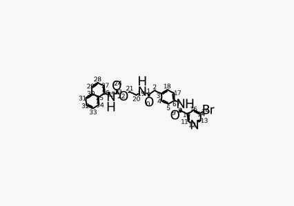 O=C(Cc1ccc(NC(=O)c2cncc(Br)c2)cc1)NCCOC(=O)Nc1cccc2ccccc12